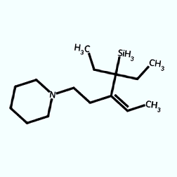 CC=C(CCN1CCCCC1)C([SiH3])(CC)CC